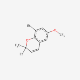 CCc1cc(OC(F)(F)F)cc2c1OC(CC)(C(F)(F)F)C=C2